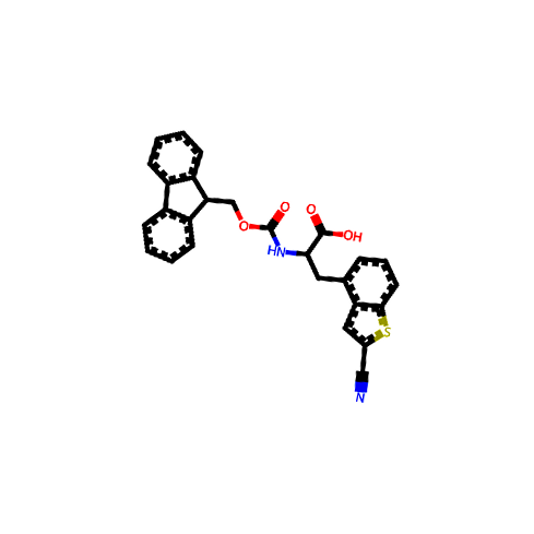 N#Cc1cc2c(CC(NC(=O)OCC3c4ccccc4-c4ccccc43)C(=O)O)cccc2s1